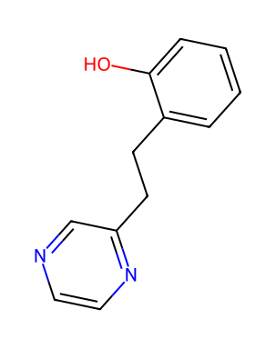 Oc1ccccc1CCc1cnccn1